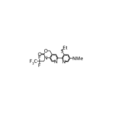 CCSc1cc(NC)cnc1-c1cc2c(cn1)N(CC(F)(F)C(F)(F)F)C(=O)OC2